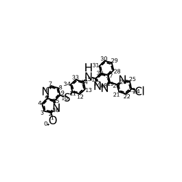 COc1ccc2nccc(Sc3ccc(Nc4nnc(-c5ccc(Cl)cn5)c5ccccc45)cc3)c2n1